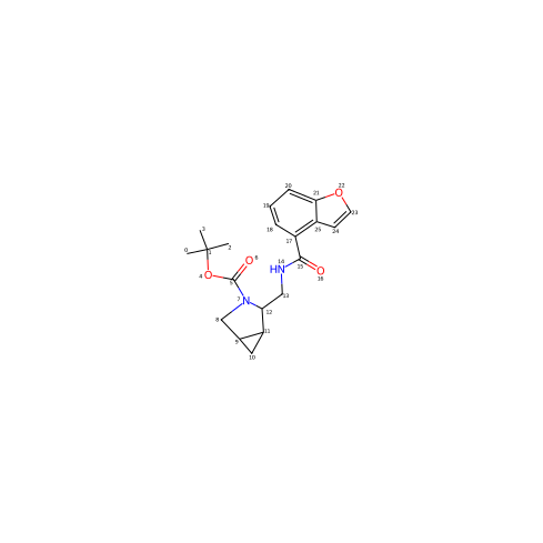 CC(C)(C)OC(=O)N1CC2CC2C1CNC(=O)c1cccc2occc12